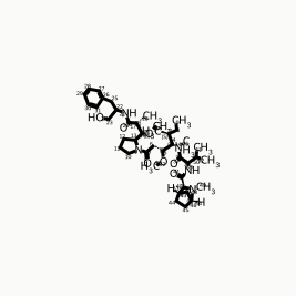 CC[C@H](C)[C@@H]([C@@H](CC(=O)N1CCCC1[C@H](OC)[C@@H](C)C(=O)NC(CO)Cc1ccccc1)OC)N(C)C(=O)C(NC(=O)[C@@H]1[C@H]2CC[C@H](C2)N1C)C(C)C